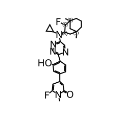 Cn1c(F)cc(-c2ccc(-c3ncc(N(C4CC4)[C@@H]4C[C@@]5(C)CCC[C@](C)(C5)[C@@H]4F)nn3)c(O)c2)cc1=O